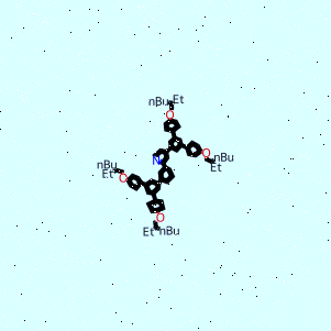 CCCCC(CC)COc1ccc(-c2cc(-c3ccc(OCC(CC)CCCC)cc3)cc(-c3cccc(-c4cc(-c5cc(-c6ccc(OCC(CC)CCCC)cc6)cc(-c6ccc(OCC(CC)CCCC)cc6)c5)ccn4)c3)c2)cc1